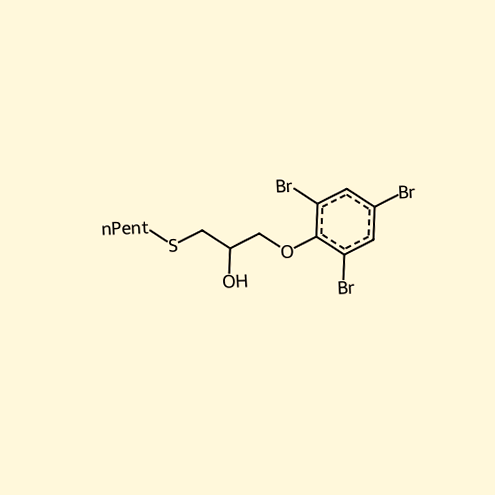 CCCCCSCC(O)COc1c(Br)cc(Br)cc1Br